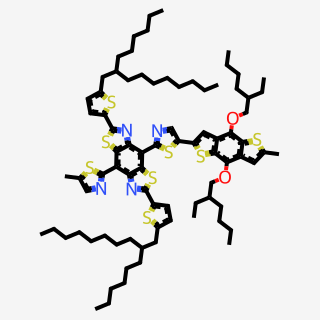 CCCCCCCCC(CCCCCC)Cc1ccc(-c2nc3c(-c4ncc(-c5cc6c(OCC(CC)CCCC)c7sc(C)cc7c(OCC(CC)CCCC)c6s5)s4)c4sc(-c5ccc(CC(CCCCCC)CCCCCCCC)s5)nc4c(-c4ncc(C)s4)c3s2)s1